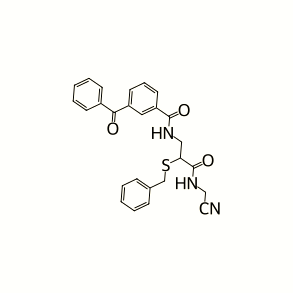 N#CCNC(=O)C(CNC(=O)c1cccc(C(=O)c2ccccc2)c1)SCc1ccccc1